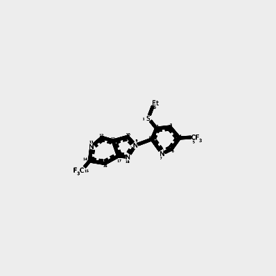 CCSc1cc(C(F)(F)F)cnc1-n1cc2cnc(C(F)(F)F)cc2n1